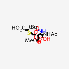 COC(=O)[C@@]1(OCCCSCCC(=O)O)C[C@H](NC(=O)OC(C)(C)C)[C@@H](NC(C)=O)[C@H](O)O1